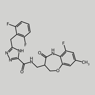 Cc1cc(F)c2c(c1)OCC(CNC(=O)c1nnc(Cc3c(F)cccc3F)[nH]1)C(=O)N2